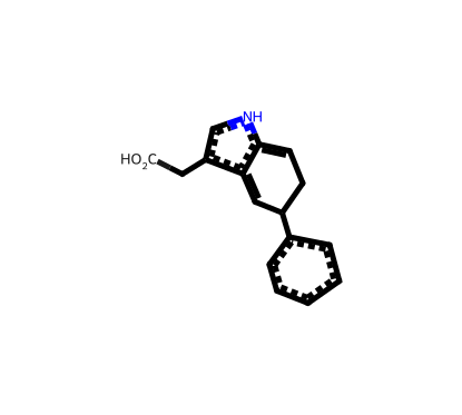 O=C(O)Cc1c[nH]c2c1=CC(c1ccccc1)CC=2